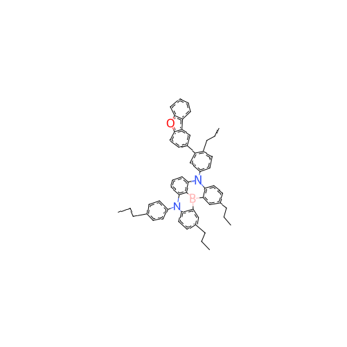 CCCc1ccc(N2c3ccc(CCC)cc3B3c4cc(CCC)ccc4N(c4ccc(CCC)c(-c5ccc6oc7ccccc7c6c5)c4)c4cccc2c43)cc1